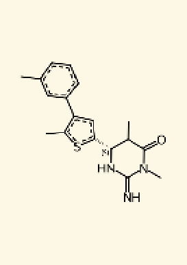 Cc1cccc(-c2cc([C@H]3NC(=N)N(C)C(=O)C3C)sc2C)c1